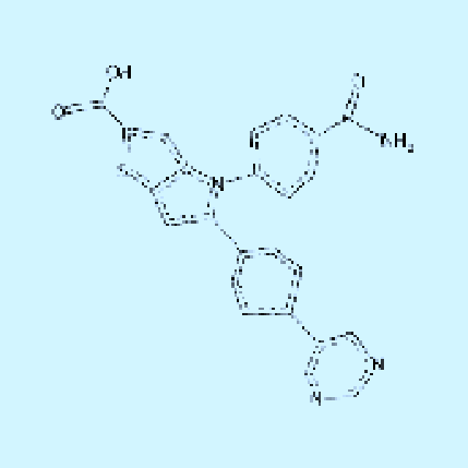 NC(=O)c1ccc(-n2c(-c3ccc(-c4cncnc4)cc3)cc3sc(C(=O)O)cc32)cc1